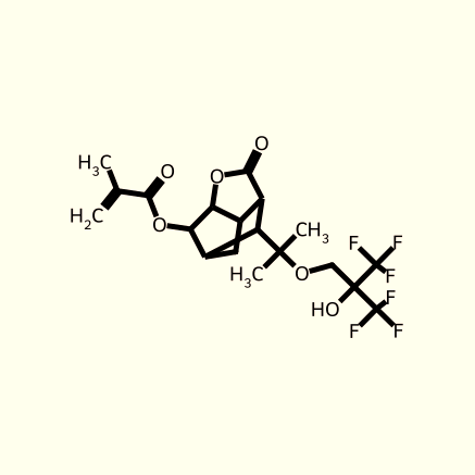 C=C(C)C(=O)OC1C2CC3C1OC(=O)C3C2C(C)(C)OCC(O)(C(F)(F)F)C(F)(F)F